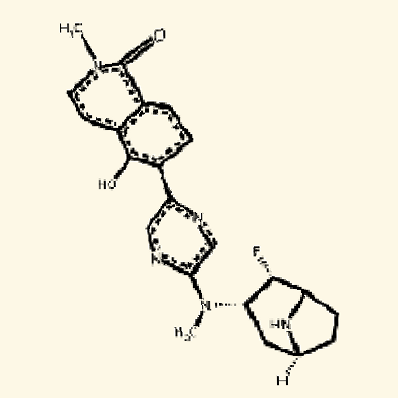 CN(c1cnc(-c2ccc3c(=O)n(C)ccc3c2O)cn1)[C@H]1C[C@@H]2CCC(N2)[C@H]1F